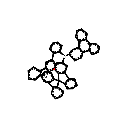 c1ccc(N(c2ccc3c(c2)-c2ccccc2C32c3ccccc3-c3ccccc32)c2ccc3c4ccccc4c4ccccc4c3c2)c(-c2ccc3sc4ccccc4c3c2)c1